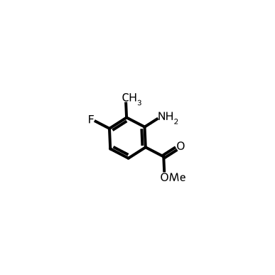 COC(=O)c1ccc(F)c(C)c1N